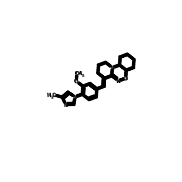 COc1cc(/C=C2\CCCN3C2=NOC2CCCCC23)ccc1-n1cnc(C)c1